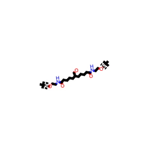 CC(C)(C)[Si](C)(C)OCCNC(=O)CCCCC(C=O)CCCCC(=O)NCCO[Si](C)(C)C(C)(C)C